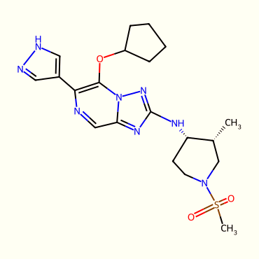 C[C@@H]1CN(S(C)(=O)=O)CC[C@@H]1Nc1nc2cnc(-c3cn[nH]c3)c(OC3CCCC3)n2n1